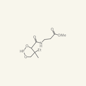 CCC1(C)COPOC1C(=O)NCCC(=O)OC